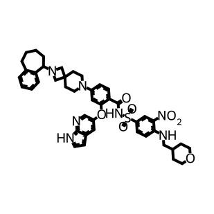 O=C(NS(=O)(=O)c1ccc(NCC2CCOCC2)c([N+](=O)[O-])c1)c1ccc(N2CCC3(CC2)CN(C2CCCCc4ccccc42)C3)cc1Oc1cnc2[nH]ccc2c1